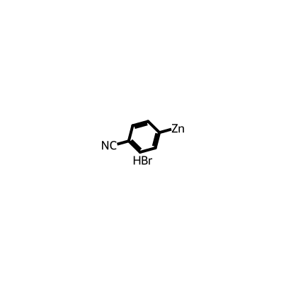 Br.N#Cc1cc[c]([Zn])cc1